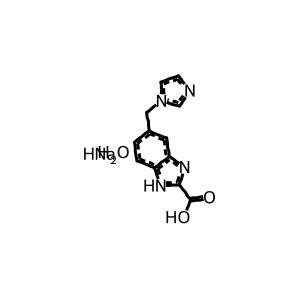 O.O=C(O)c1nc2cc(Cn3ccnc3)ccc2[nH]1.[NaH]